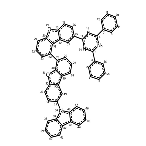 c1ccc(-c2nc(-c3ccccc3)nc(-c3ccc4oc5cccc(-c6cccc7c6oc6ccc(-n8c9ccccc9c9ccccc98)cc67)c5c4c3)n2)cc1